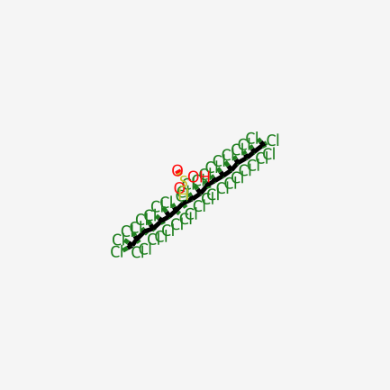 ClC(Cl)(Cl)C(Cl)(Cl)C(Cl)(Cl)C(Cl)(Cl)C(Cl)(Cl)C(Cl)(Cl)C(Cl)(Cl)C(Cl)(Cl)C(Cl)(Cl)C(Cl)(Cl)C(Cl)(Cl)C(Cl)(Cl)C(Cl)(Cl)C(Cl)(Cl)C(Cl)(Cl)C(Cl)(Cl)C(Cl)(Cl)C(Cl)(Cl)Cl.O=[SH](=O)O